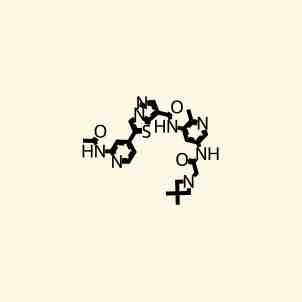 CC(=O)Nc1cc(-c2cn3ncc(C(=O)Nc4cc(NC(=O)CN5CC(C)(C)C5)cnc4C)c3s2)ccn1